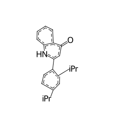 CC(C)c1ccc(-c2cc(=O)c3ccccc3[nH]2)c(C(C)C)c1